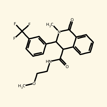 COCCNC(=O)C1c2ccccc2C(=O)N(C)C1c1cccc(C(F)(F)F)c1